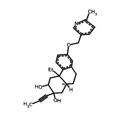 CC#CC1(O)C[C@H]2CCc3cc(OCc4ccc(C)nc4)ccc3C2(CC)CC1O